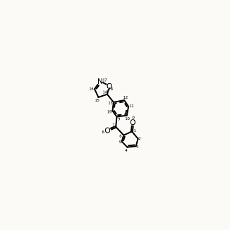 O=C1CC=CC=C1C(=O)c1cccc(C2CC=NO2)c1